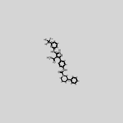 NC(=O)c1c(-c2ccc(NC(=O)N3CCCC(c4ccccc4)C3)cc2)n[nH]c1Nc1cccc(C(F)(F)F)n1